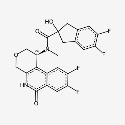 CN(C(=O)C1(O)Cc2cc(F)c(F)cc2C1)[C@@H]1COCc2[nH]c(=O)c3cc(F)c(F)cc3c21